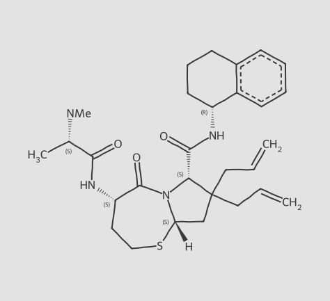 C=CCC1(CC=C)C[C@@H]2SCC[C@H](NC(=O)[C@H](C)NC)C(=O)N2[C@@H]1C(=O)N[C@@H]1CCCc2ccccc21